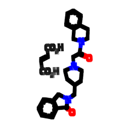 O=C(CN1CCC(CN2Cc3ccccc3C2=O)CC1)N1CCc2ccccc2C1.O=C(O)C=CC(=O)O